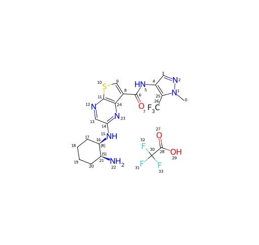 Cn1ncc(NC(=O)c2csc3ncc(N[C@@H]4CCCC[C@@H]4N)nc23)c1C(F)(F)F.O=C(O)C(F)(F)F